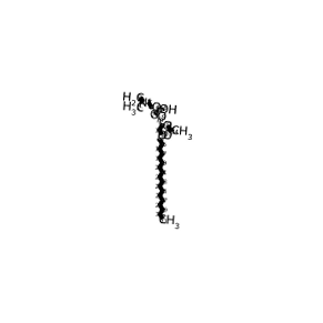 C=[N+](C)CCOP(=O)(O)OC[C@@H](COCCCCCCCCCCCCCCCCCC)OC(C)=O